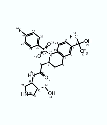 O=C(C[C@@H]1CCc2cc(C(O)(C(F)(F)F)C(F)(F)F)ccc2N1S(=O)(=O)c1ccc(F)cc1)N[C@@H]1CNC[C@H]1CO